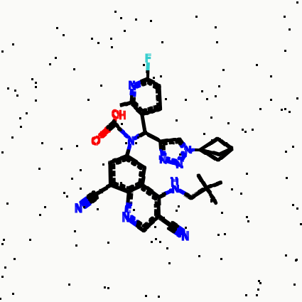 Cc1nc(F)ccc1C(c1cn(C23CC(C2)C3)nn1)N(C(=O)O)c1cc(C#N)c2ncc(C#N)c(NCC(C)(C)C)c2c1